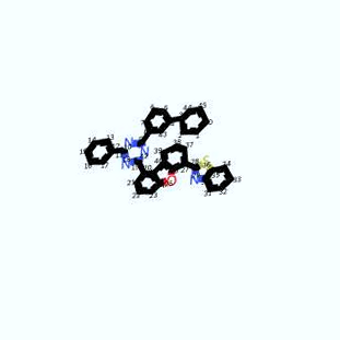 c1ccc(-c2cccc(-c3nc(-c4ccccc4)nc(-c4cccc5oc6c(-c7nc8ccccc8s7)cccc6c45)n3)c2)cc1